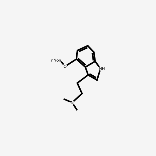 CCCCCCCCCOc1cccc2[nH]cc(CCN(C)C)c12